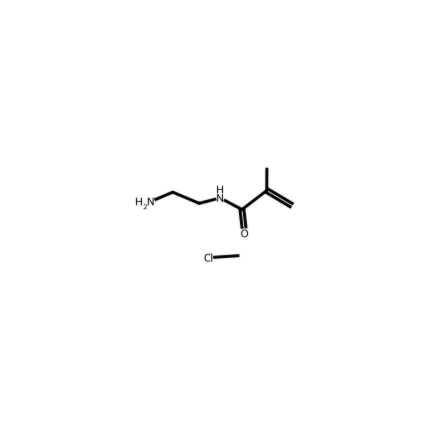 C=C(C)C(=O)NCCN.CCl